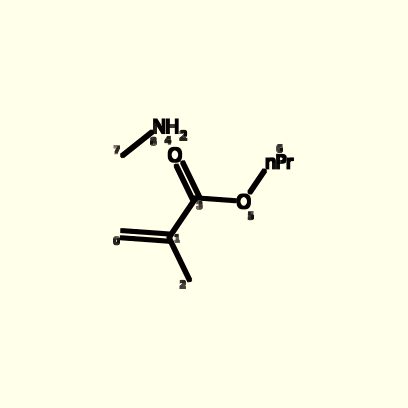 C=C(C)C(=O)OCCC.CN